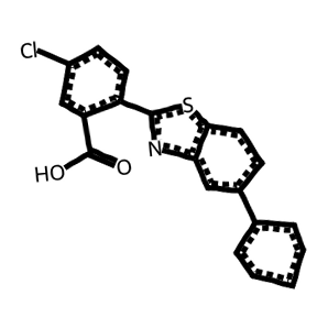 O=C(O)c1cc(Cl)ccc1-c1nc2cc(-c3ccccc3)ccc2s1